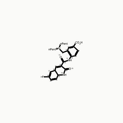 CCCCCN(CCCCC)Cc1cc(C(=O)O)ccc1NC(=O)C1=CC2C=C(F)C=CC2NC1=O